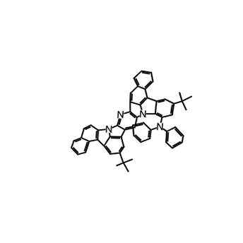 CC(C)(C)c1cc(N(c2ccccc2)c2ccccc2)c2c(c1)c1c3ccccc3cc3c4nc5c(cc4n2c31)c1cc(C(C)(C)C)cc2c3c4ccccc4ccc3n5c12